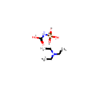 CCN(CC)CC.O=C(O)NS(=O)(=O)O